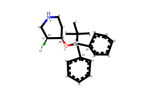 CC(C)(C)[Si](O[C@@H]1CCNC[C@@H]1F)(c1ccccc1)c1ccccc1